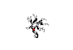 C=CC[Si]1(CC=C)O[Si](CC=C)(CC=C)O[Si](CC=C)(CCC[SiH]2CCCCO2)O[Si](CC=C)(CC=C)O1